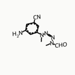 CN(C=O)/N=N\N(C)c1cc(N)cc(C#N)c1